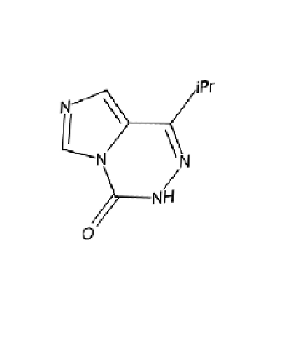 CC(C)c1n[nH]c(=O)n2cncc12